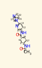 CC(=O)Nc1ccc(C(=O)Nc2ccc(N3CCN4CCC3CC4)nc2)cc1